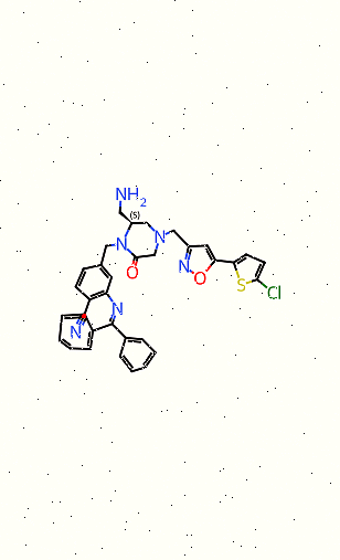 N#Cc1ccc(CN2C(=O)CN(Cc3cc(-c4ccc(Cl)s4)on3)C[C@@H]2CN)cc1N=C(c1ccccc1)c1ccccc1